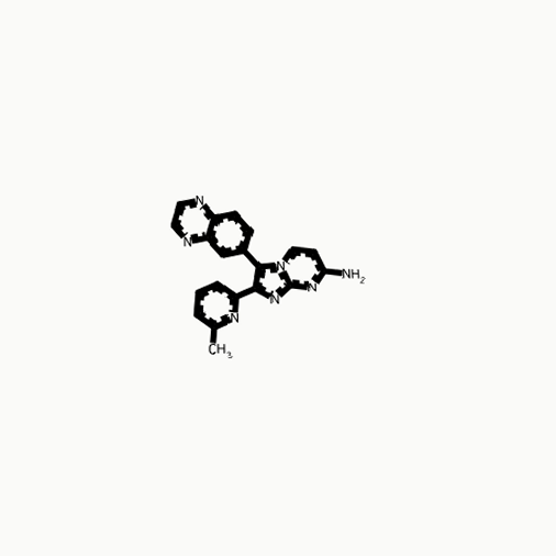 Cc1cccc(-c2nc3nc(N)ccn3c2-c2ccc3nccnc3c2)n1